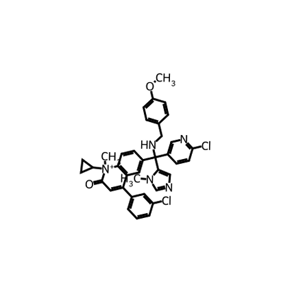 COc1ccc(CNC(c2ccc(Cl)nc2)(c2ccc3c(c2)C(c2cccc(Cl)c2)=CC(=O)[N+]3(C)C2CC2)c2cncn2C)cc1